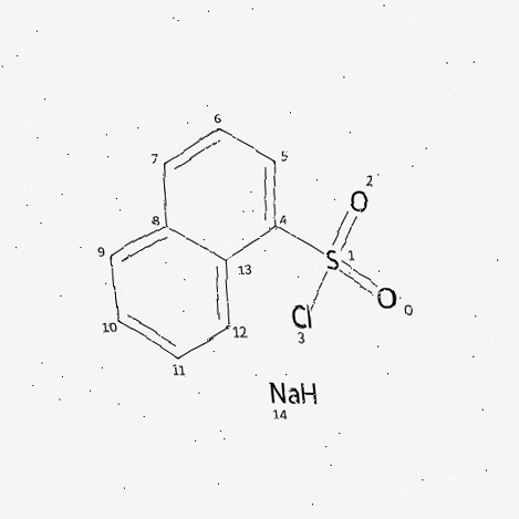 O=S(=O)(Cl)c1cccc2ccccc12.[NaH]